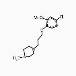 COc1cc(Cl)ccc1OCCCN1CCN(C)CC1